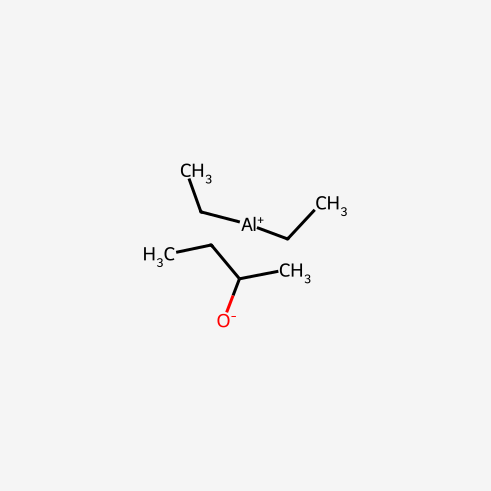 CCC(C)[O-].C[CH2][Al+][CH2]C